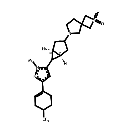 CC(C)n1nc(C2=CCC(C(F)(F)F)CC2)cc1C1[C@H]2CC(N3CCC4(C3)CS(=O)(=O)C4)C[C@@H]12